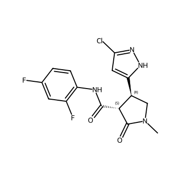 CN1C[C@H](c2cc(Cl)n[nH]2)[C@@H](C(=O)Nc2ccc(F)cc2F)C1=O